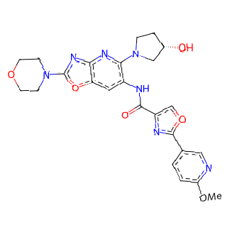 COc1ccc(-c2nc(C(=O)Nc3cc4oc(N5CCOCC5)nc4nc3N3CC[C@H](O)C3)co2)cn1